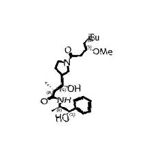 CC[C@H](C)C[C@@H](CC(=O)N1CCC([C@H](O)[C@@H](C)C(=O)N[C@H](C)[C@@H](O)c2ccccc2)C1)OC